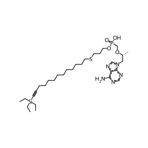 CC[Si](C#CCCCCCCCCCCCSCCCOP(=O)(O)CO[C@H](C)Cn1cnc2c(N)ncnc21)(CC)CC